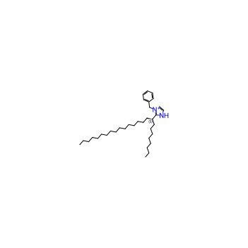 CCCCCCCCCCCCCCCC[C@H](CCCCCCCC)c1[nH]cc[n+]1Cc1ccccc1